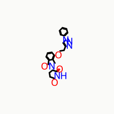 O=C1CCC(N2Cc3c(OCCc4cn(-c5ccccc5)nn4)cccc3C2=O)C(=O)N1